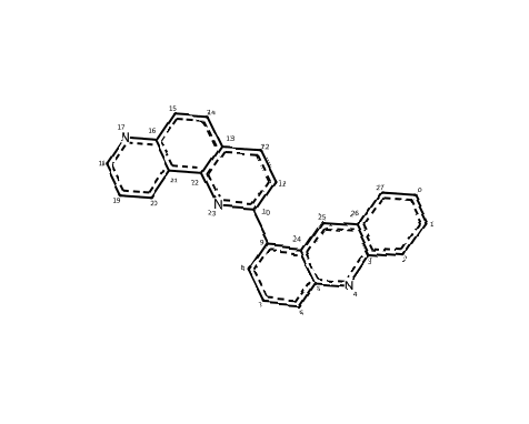 c1ccc2nc3cccc(-c4ccc5ccc6ncccc6c5n4)c3cc2c1